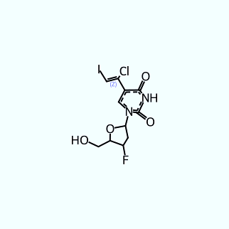 O=c1[nH]c(=O)n(C2CC(F)C(CO)O2)cc1/C(Cl)=C/I